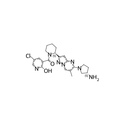 Cc1cn2nc([C@@H]3CCCCN3C(=O)c3cc(Cl)cnc3O)cc2nc1N1CC[C@H](N)C1